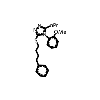 CCCc1nnc(SCCCCc2ccccc2)n1-c1ccccc1OC